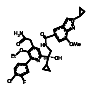 CCOc1c(CC(N)=O)cc([C@@](O)(CNC(=O)c2cc(OC)c3nn(C4CC4)cc3c2)C2CC2)nc1-c1ccc(Cl)c(F)c1